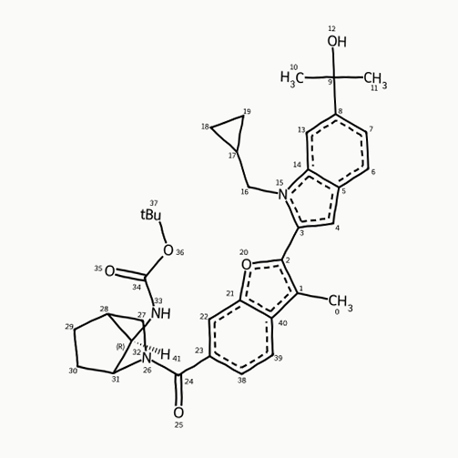 Cc1c(-c2cc3ccc(C(C)(C)O)cc3n2CC2CC2)oc2cc(C(=O)N3CC4CCC3[C@@H]4NC(=O)OC(C)(C)C)ccc12